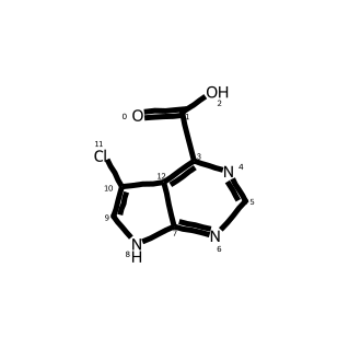 O=C(O)c1ncnc2[nH]cc(Cl)c12